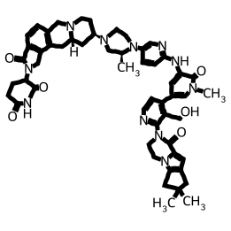 C[C@H]1CN([C@@H]2CCN3Cc4ccc5c(c4C[C@H]3C2)CN(C2CCC(=O)NC2=O)C5=O)CCN1c1ccc(Nc2cc(-c3ccnc(N4CCn5c(cc6c5CC(C)(C)C6)C4=O)c3CO)cn(C)c2=O)nc1